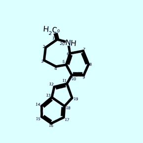 C=C1CCCc2c(cccc2C2=Cc3ccccc3C2)N1